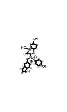 CSc1ccc(C[C@H](C(=O)NO)N(Cc2ccc3[nH]ccc3c2)S(=O)(=O)c2ccc(O)cc2)cc1